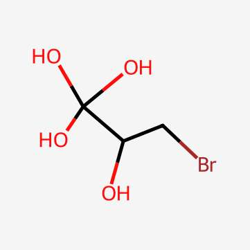 OC(CBr)C(O)(O)O